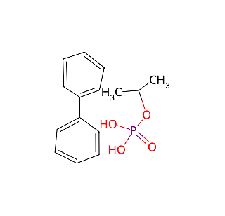 CC(C)OP(=O)(O)O.c1ccc(-c2ccccc2)cc1